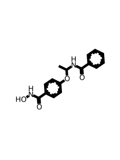 CC(NC(=O)c1ccccc1)Oc1ccc(C(=O)NO)cc1